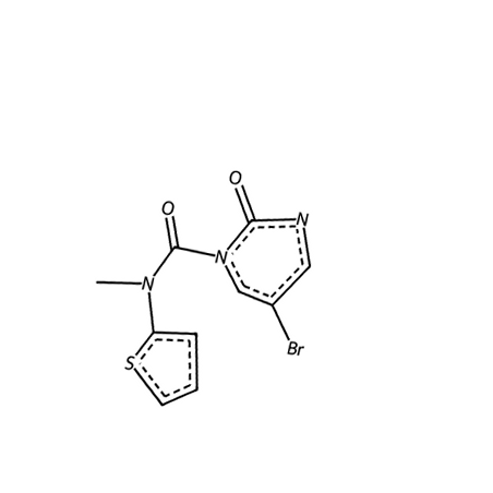 CN(C(=O)n1cc(Br)cnc1=O)c1cccs1